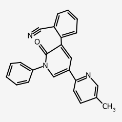 Cc1ccc(-c2cc(-c3ccccc3C#N)c(=O)n(-c3ccccc3)c2)nc1